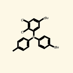 Cc1ccc(N(c2ccc(C(C)(C)C)cc2)c2cc(C(C)(C)C)cc(Cl)c2Cl)cc1